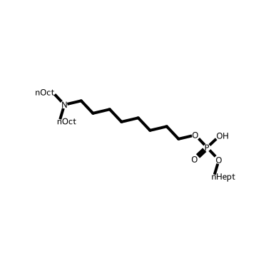 CCCCCCCCN(CCCCCCCC)CCCCCCCCOP(=O)(O)OCCCCCCC